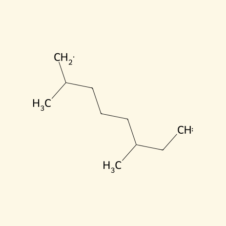 [CH]CC(C)CCCC([CH2])C